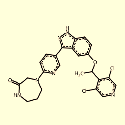 CC(Oc1ccc2[nH]nc(-c3ccc(N4CCCNC(=O)C4)nc3)c2c1)c1c(Cl)cncc1Cl